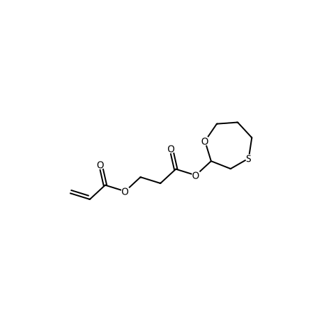 C=CC(=O)OCCC(=O)OC1CSCCCO1